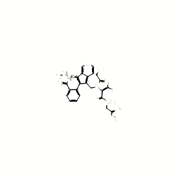 CCc1nc(C)c(C(=O)NCC(=O)O)n1Cc1c2ccocc-2c(Br)c1-c1ccccc1-c1nnn[nH]1